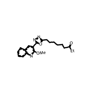 CCC(=O)CCCCCCc1nnc(-c2cc3ccccc3nc2OC)o1